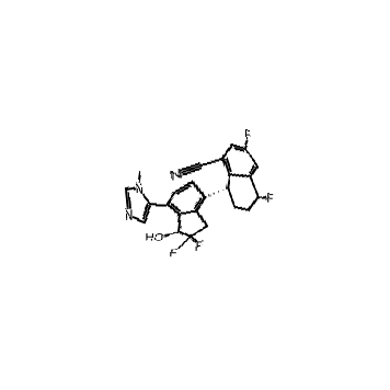 Cn1cncc1-c1ccc([C@H]2CC[C@H](F)c3cc(F)cc(C#N)c32)c2c1[C@H](O)C(F)(F)C2